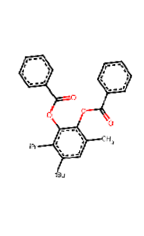 Cc1cc(C(C)(C)C)c(C(C)C)c(OC(=O)c2ccccc2)c1OC(=O)c1ccccc1